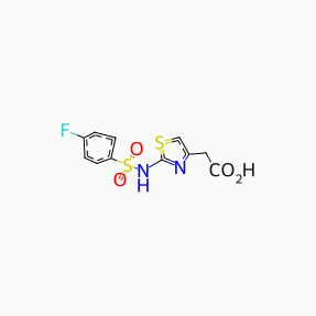 O=C(O)Cc1csc(NS(=O)(=O)c2ccc(F)cc2)n1